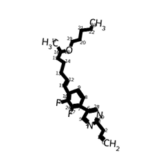 C=CCc1ncc(-c2ccc(C=CCCCC(C)OCCCCC)c(F)c2F)cn1